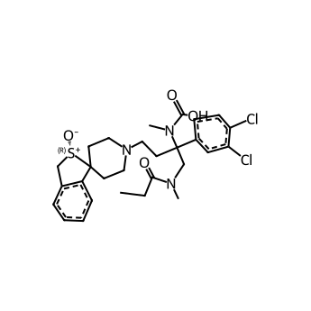 CCC(=O)N(C)CC(CCN1CCC2(CC1)c1ccccc1C[S@+]2[O-])(c1ccc(Cl)c(Cl)c1)N(C)C(=O)O